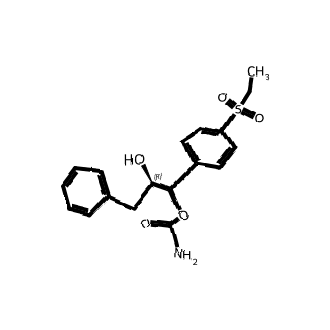 CCS(=O)(=O)c1ccc(C(OC(N)=O)[C@H](O)Cc2ccccc2)cc1